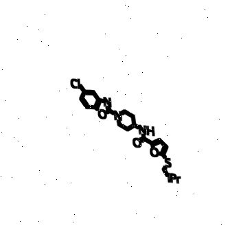 CC(C)CSc1ccc(C(=O)NC2CCN(c3nc4cc(Cl)ccc4o3)CC2)o1